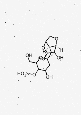 O=S(=O)(O)O[C@H]1C(CO)O[C@@H](O[C@H]2C3CO[C@H]2C(O)[C@@H](O)O3)C[C@H]1O